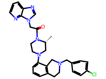 C[C@@H]1CN(c2cccc3c2CN(Cc2ccc(Cl)cc2)CC3)CCN1C(=O)Cn1cnc2cccnc21